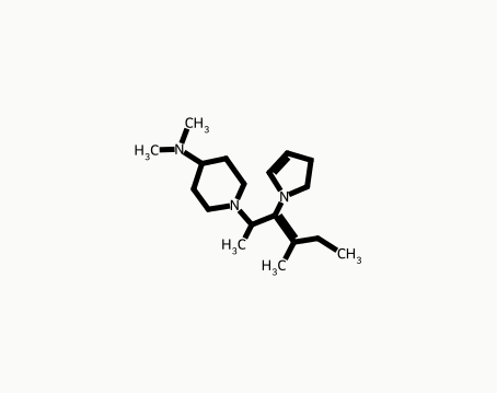 CC/C(C)=C(/C(C)N1CCC(N(C)C)CC1)N1C=CCC1